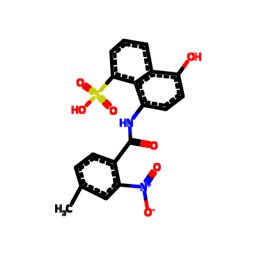 Cc1ccc(C(=O)Nc2ccc(O)c3cccc(S(=O)(=O)O)c23)c([N+](=O)[O-])c1